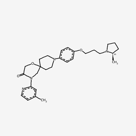 Cc1ccnc(N2CC3(CCN(c4ccc(OCCCN5CCC[C@H]5C)cc4)CC3)OCC2=O)c1